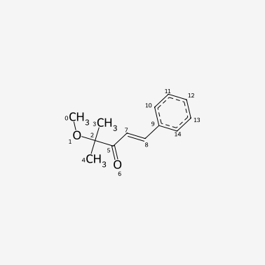 COC(C)(C)C(=O)/C=C/c1ccccc1